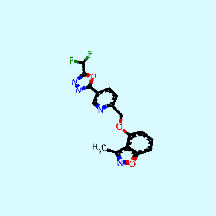 Cc1noc2cccc(OCc3ccc(-c4nnc(C(F)F)o4)cn3)c12